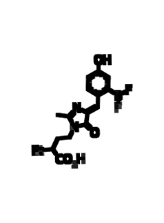 CCC(CCN1C(=O)C(=Cc2ccc(O)cc2B(F)F)N=C1C)C(=O)O